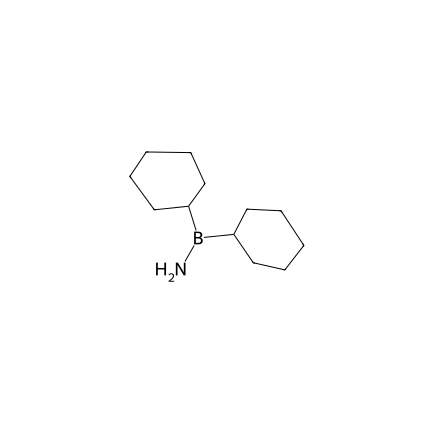 NB(C1CCCCC1)C1CCCCC1